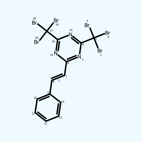 BrC(Br)(Br)c1nc(/C=C/c2ccccc2)nc(C(Br)(Br)Br)n1